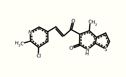 Cc1ncc(C=CC(=O)c2c(C)c3ccsc3[nH]c2=O)cc1Cl